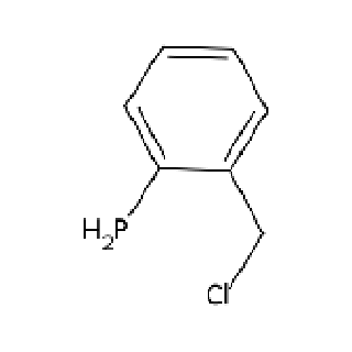 Pc1ccccc1CCl